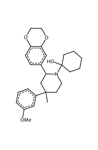 COc1cccc(C2(C)CCN(C3(O)CCCCC3)C(c3ccc4c(c3)OCCO4)C2)c1